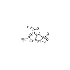 CC(=O)Oc1cc2c(cc1OC(C)=O)C(=O)OC2